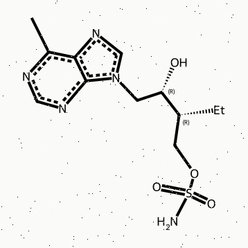 CC[C@H](COS(N)(=O)=O)[C@@H](O)Cn1cnc2c(C)ncnc21